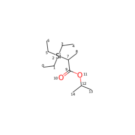 CC[Si](CC)(CC)C(C)C(=O)OC(C)C